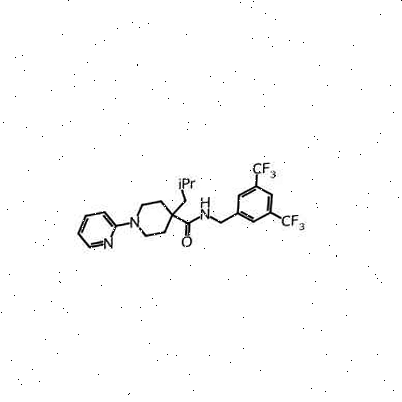 CC(C)CC1(C(=O)NCc2cc(C(F)(F)F)cc(C(F)(F)F)c2)CCN(c2ccccn2)CC1